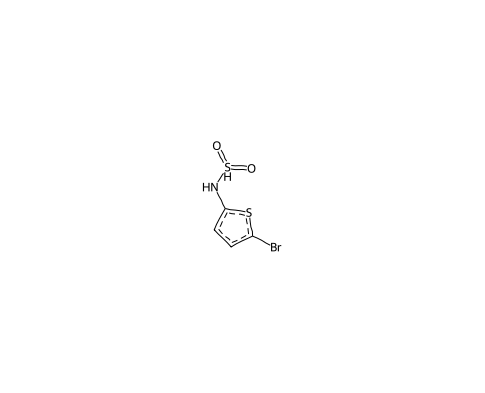 O=[SH](=O)Nc1ccc(Br)s1